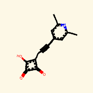 Cc1cc(C#Cc2c(O)c(=O)c2=O)cc(C)n1